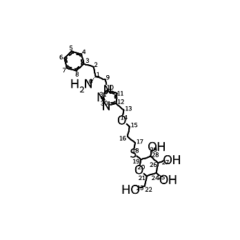 N[C@H](Cc1ccccc1)Cn1cc(COCCCSC2OC(CO)C(O)C(O)C2O)nn1